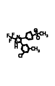 Cc1cc(Cl)cc(-c2[nH]c(C(F)(F)F)nc2-c2ccc(S(C)(=O)=O)cc2)c1